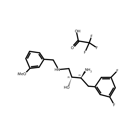 COc1cccc(CNC[C@@H](O)[C@@H](N)Cc2cc(F)cc(F)c2)c1.O=C(O)C(F)(F)F